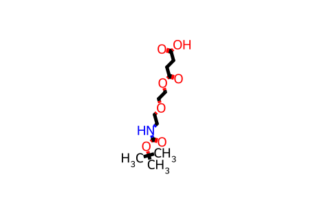 CC(C)(C)OC(=O)NCCOCCOC(=O)CCC(=O)O